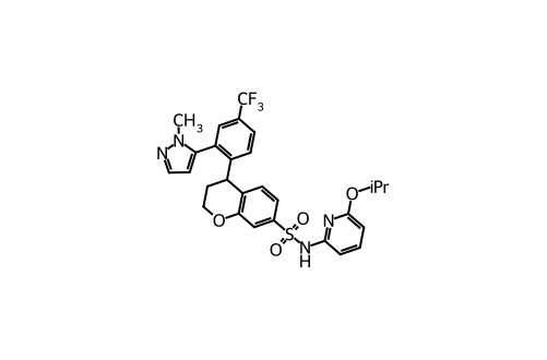 CC(C)Oc1cccc(NS(=O)(=O)c2ccc3c(c2)OCCC3c2ccc(C(F)(F)F)cc2-c2ccnn2C)n1